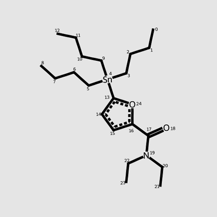 CCC[CH2][Sn]([CH2]CCC)([CH2]CCC)[c]1ccc(C(=O)N(CC)CC)o1